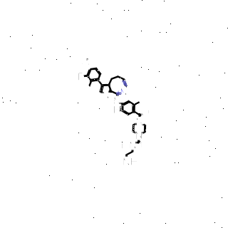 COc1ccc(C2=CN=C3/C(Nc4ccc(C(=O)N5CCN(C(=O)NCCN)CC5)c(C)c4)=N\C=C/CCC23)c(C)c1F